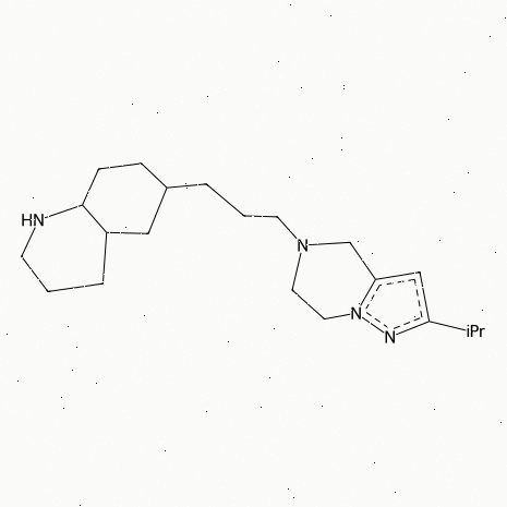 CC(C)c1cc2n(n1)CCN(CCCC1CCC3NCCCC3C1)C2